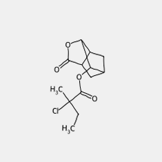 CCC(C)(Cl)C(=O)OC1C2CC3C(=O)OC1C3C2